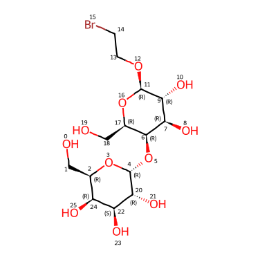 OC[C@H]1O[C@H](O[C@@H]2[C@H](O)[C@@H](O)[C@H](OCCBr)O[C@@H]2CO)[C@H](O)[C@@H](O)[C@H]1O